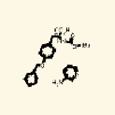 CC(C)(C)OC(=O)N[C@@H](Cc1ccc(OCc2ccccc2)cc1)C(=O)O.Nc1cccnc1